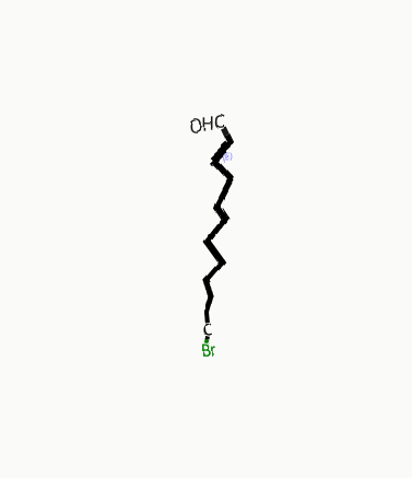 O=C/C=C/CCCCCCCCCBr